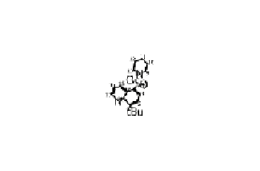 CC(C)(C)c1ccc(S(=O)(=O)N2CCCCC2)c2cccnc12